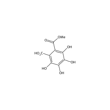 COC(=O)c1c(O)c(O)c(O)c(O)c1C(=O)O